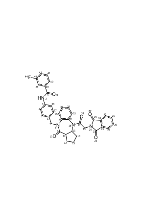 O=C(Nc1ccc(CN2C(=O)C3CCCC3N(C(=O)CN3C(=O)c4ccccc4C3=O)c3ccccc32)cc1)c1cccc(F)c1